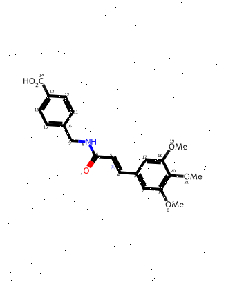 COc1cc(/C=C/C(=O)NCc2ccc(C(=O)O)cc2)cc(OC)c1OC